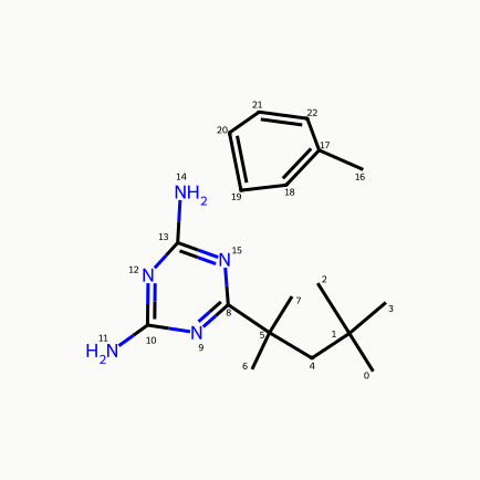 CC(C)(C)CC(C)(C)c1nc(N)nc(N)n1.Cc1ccccc1